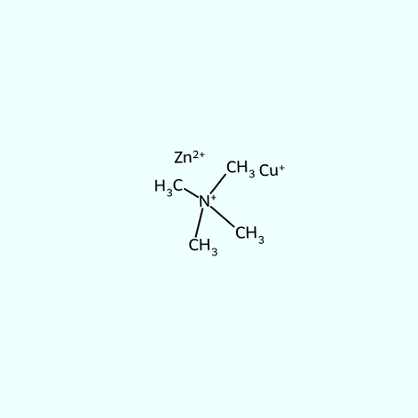 C[N+](C)(C)C.[Cu+].[Zn+2]